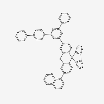 c1ccc(-c2ccc(-c3cc(-c4ccc5c(c4)Sc4cc(-c6cccc7cccnc67)ccc4C54c5ccccc5-c5ccccc54)nc(-c4ccccc4)n3)cc2)cc1